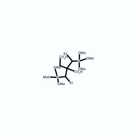 CCC(C(CC(=O)O)(C(=O)O)C(CC)[Si](OC)(OC)OC)[Si](OC)(OC)OC